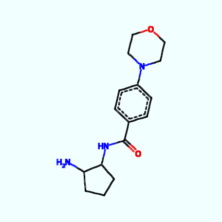 NC1CCCC1NC(=O)c1ccc(N2CCOCC2)cc1